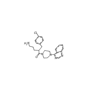 NCCCC(Cc1ccc(Cl)cc1)C(=O)N1CCN(c2ncnc3ccccc23)CC1